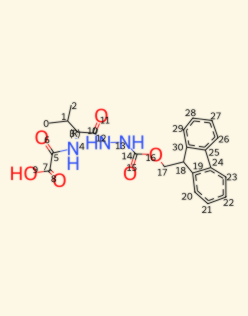 CC(C)[C@@H](NC(=O)C(=O)O)C(=O)NNC(=O)OCC1c2ccccc2-c2ccccc21